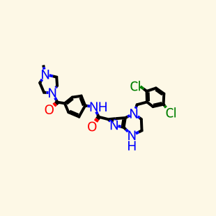 CN1CCN(C(=O)c2ccc(NC(=O)c3c4c5c(n3-4)NCCN5Cc3cc(Cl)ccc3Cl)cc2)CC1